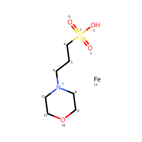 O=S(=O)(O)CCCN1CCOCC1.[Fe]